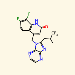 CC(Cc1nc2nccnc2n1Cc1cc(=O)[nH]c2c(F)c(F)ccc12)C(F)(F)F